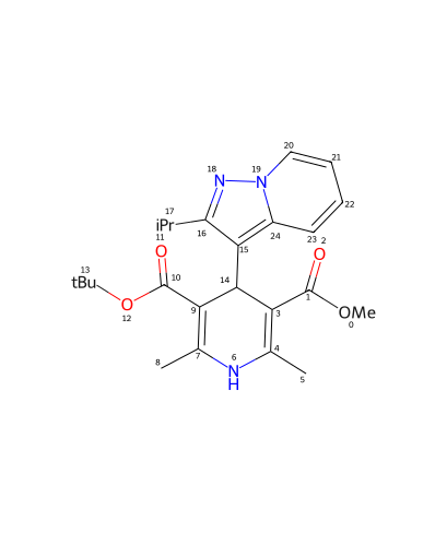 COC(=O)C1=C(C)NC(C)=C(C(=O)OC(C)(C)C)C1c1c(C(C)C)nn2ccccc12